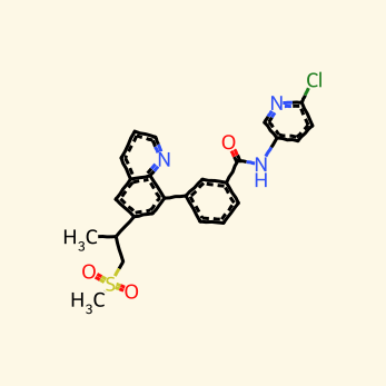 CC(CS(C)(=O)=O)c1cc(-c2cccc(C(=O)Nc3ccc(Cl)nc3)c2)c2ncccc2c1